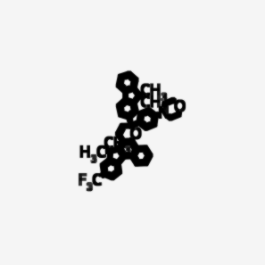 CC1(C)c2ccccc2-c2ccc(C3(c4ccc(N5CCOCC5)cc4)C=Cc4c5c(c6ccccc6c4O3)-c3ccc(C(F)(F)F)cc3C5(C)C)cc21